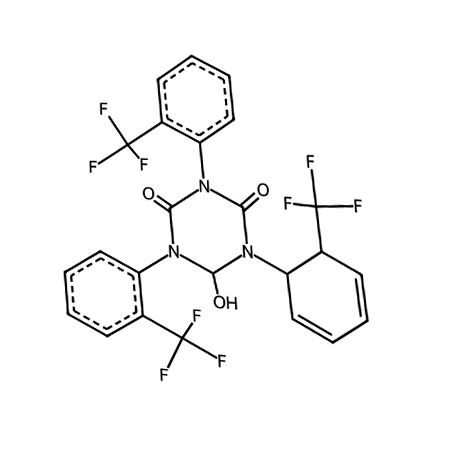 O=C1N(c2ccccc2C(F)(F)F)C(=O)N(C2C=CC=CC2C(F)(F)F)C(O)N1c1ccccc1C(F)(F)F